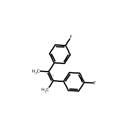 C/C(=C(\C)c1ccc(F)cc1)c1ccc(F)cc1